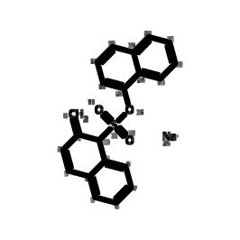 C=C1C=Cc2ccccc2C1S(=O)(=O)Oc1cccc2ccccc12.[Na]